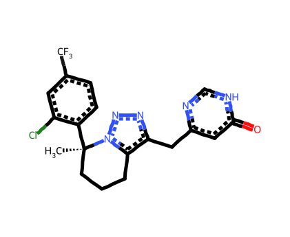 C[C@@]1(c2ccc(C(F)(F)F)cc2Cl)CCCc2c(Cc3cc(=O)[nH]cn3)nnn21